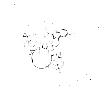 CC(C)(N(C(=O)O)[C@H]1CCCCC/C=C\[C@@H]2C[C@@]2(C(=O)NS(=O)(=O)C2(C)CC2)NC(=O)[C@@H]2C[C@]3(CCc4c(c(C(F)F)nc5ccc(Cl)cc45)O3)CN2C1=O)C(F)(F)F